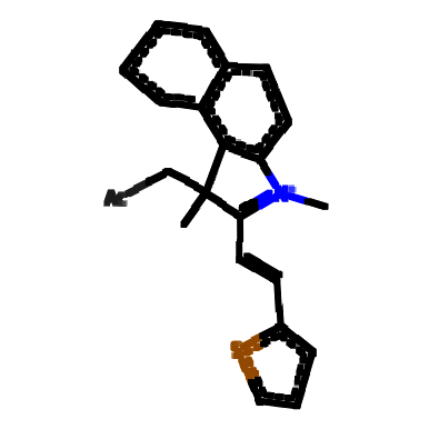 CC(=O)CC1(C)C(/C=C/c2cccs2)=[N+](C)c2ccc3ccccc3c21